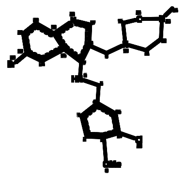 COc1ccc(CNc2c(CN3CCN(C)CC3)cnc3ccc(Br)cc23)cc1Cl